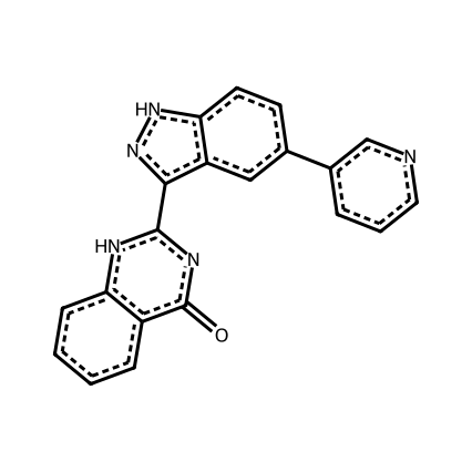 O=c1nc(-c2n[nH]c3ccc(-c4cccnc4)cc23)[nH]c2ccccc12